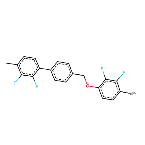 CCCc1ccc(OCc2ccc(-c3ccc(C)c(F)c3F)cc2)c(F)c1F